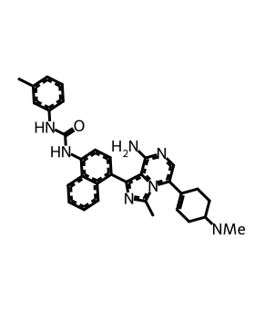 CNC1CC=C(c2cnc(N)c3c(-c4ccc(NC(=O)Nc5cccc(C)c5)c5ccccc45)nc(C)n23)CC1